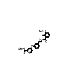 CNC(=O)c1cc(Oc2cccc(CCNC(=O)c3cccc(OC)c3C)c2)ccn1